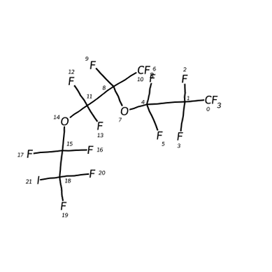 FC(F)(F)C(F)(F)C(F)(F)OC(F)(C(F)(F)F)C(F)(F)OC(F)(F)C(F)(F)I